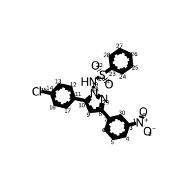 O=[N+]([O-])c1cccc(-c2cc(-c3ccc(Cl)cc3)n(NS(=O)(=O)c3ccccc3)n2)c1